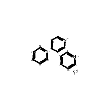 [Cd].c1ccncc1.c1ccncc1.c1ccncc1